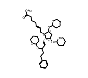 COC(=O)CCCC=CC[C@@H]1[C@@H](C=CC(CCc2ccccc2)OC2CCCCO2)[C@H](OC2CCCCO2)C[C@@H]1OC1CCCCO1